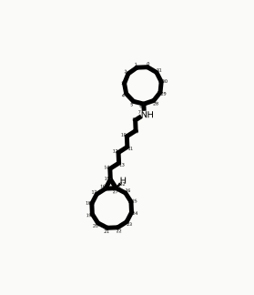 C1CCCCCC(NCCCCCCCC2C3CCCCCCCCCC[C@H]32)CCCC1